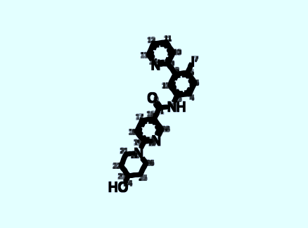 O=C(Nc1ccc(I)c(-c2ccccn2)c1)c1ccc(N2CCC(O)CC2)nc1